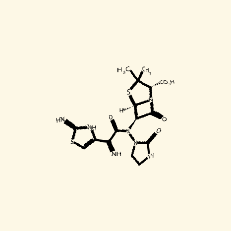 CC1(C)S[C@@H]2[C@H](N(C(=O)C(=N)c3csc(=N)[nH]3)N3CCNC3=O)C(=O)N2[C@H]1C(=O)O